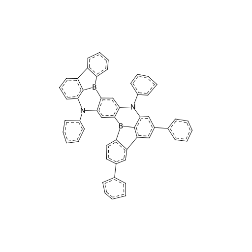 c1ccc(-c2ccc3c(c2)-c2cc(-c4ccccc4)cc4c2B3c2cc3c(cc2N4c2ccccc2)B2c4ccccc4-c4cccc(c42)N3c2ccccc2)cc1